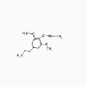 CC#COc1c(OC)cc(CCN)cc1OC